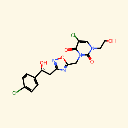 O=c1c(Cl)cn(CCO)c(=O)n1Cc1nc(C[C@H](O)c2ccc(Cl)cc2)no1